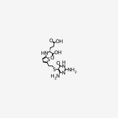 Nc1nc(N)c(SCCc2ccc(N[C@@H](CCC(=O)O)C(=O)O)s2)c(=O)[nH]1